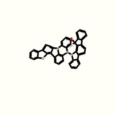 CC1(C)c2ccccc2-c2ccc3c4ccccc4n(B4c5ccccc5-n5c6ccc7c8ccccc8oc7c6c6cccc4c65)c3c21